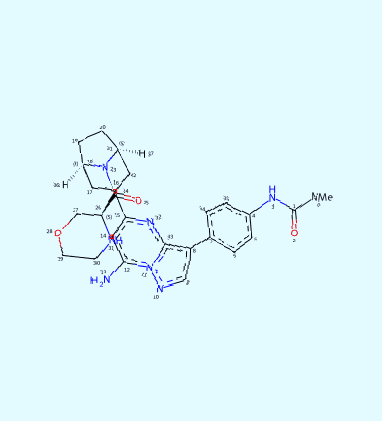 CNC(=O)Nc1ccc(-c2cnn3c(N)cc(C4C[C@H]5CC[C@@H](C4)N5C(=O)[C@@H]4COCCN4)nc23)cc1